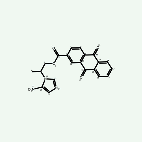 CC(COC(=O)c1ccc2c(c1)C(=O)c1ccccc1C2=O)n1cncc1[N+](=O)[O-]